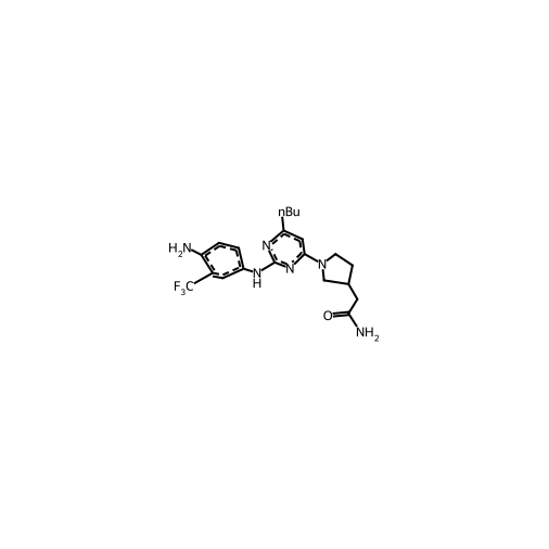 CCCCc1cc(N2CCC(CC(N)=O)C2)nc(Nc2ccc(N)c(C(F)(F)F)c2)n1